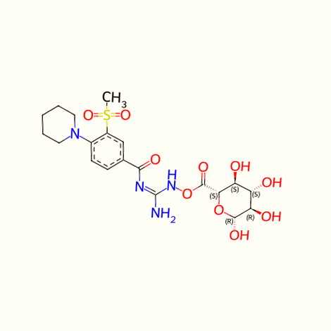 CS(=O)(=O)c1cc(C(=O)N=C(N)NOC(=O)[C@H]2O[C@@H](O)[C@H](O)[C@@H](O)[C@@H]2O)ccc1N1CCCCC1